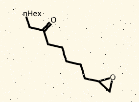 CCCCCCCC(=O)CCCCCC1CO1